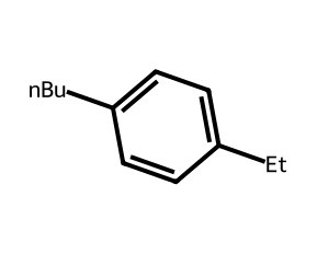 [CH2]Cc1ccc(CCCC)cc1